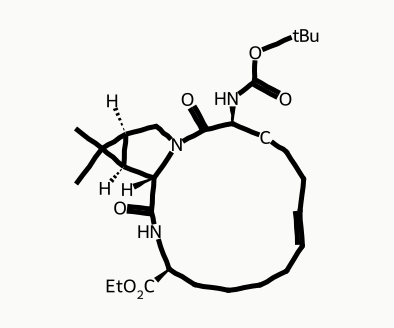 CCOC(=O)[C@@H]1CCCC/C=C/CCC[C@H](NC(=O)OC(C)(C)C)C(=O)N2C[C@H]3[C@@H]([C@H]2C(=O)N1)C3(C)C